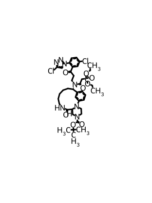 CCOP(=O)(CC(=O)N(CCC(=O)c1cc(Cl)ccc1-n1cc(Cl)nn1)[C@H]1CCCCCNC(=O)[C@H]2CN(C(=O)OC(C)(C)C)CCN2c2cccc1c2)OCC